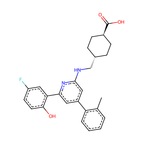 Cc1ccccc1-c1cc(NC[C@H]2CC[C@H](C(=O)O)CC2)nc(-c2cc(F)ccc2O)c1